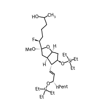 CCCCC[C@@H](/C=C/[C@@H]1[C@H]2C[C@@](OC)([C@@H](F)CCCC(C)O)O[C@H]2C[C@H]1O[Si](CC)(CC)CC)O[Si](CC)(CC)CC